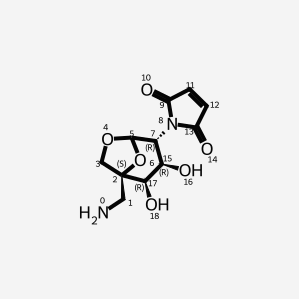 NC[C@@]12COC(O1)[C@H](N1C(=O)C=CC1=O)[C@@H](O)[C@H]2O